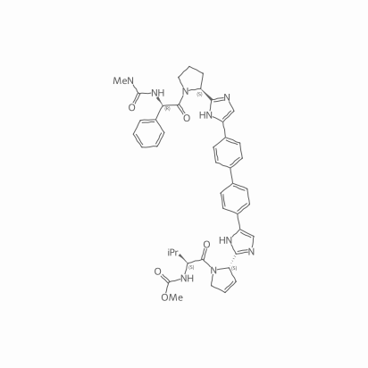 CNC(=O)N[C@@H](C(=O)N1CCC[C@H]1c1ncc(-c2ccc(-c3ccc(-c4cnc([C@@H]5C=CCN5C(=O)[C@@H](NC(=O)OC)C(C)C)[nH]4)cc3)cc2)[nH]1)c1ccccc1